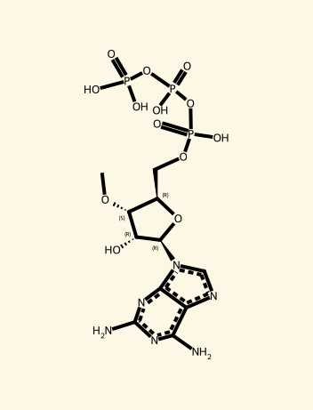 CO[C@H]1[C@@H](O)[C@H](n2cnc3c(N)nc(N)nc32)O[C@@H]1COP(=O)(O)OP(=O)(O)OP(=O)(O)O